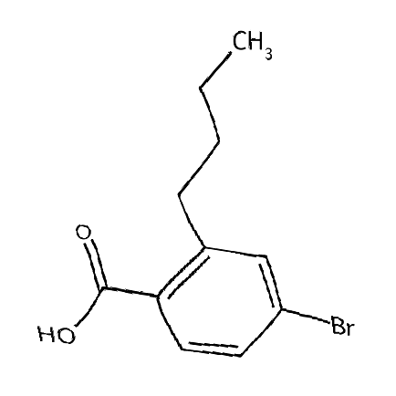 CCCCc1cc(Br)ccc1C(=O)O